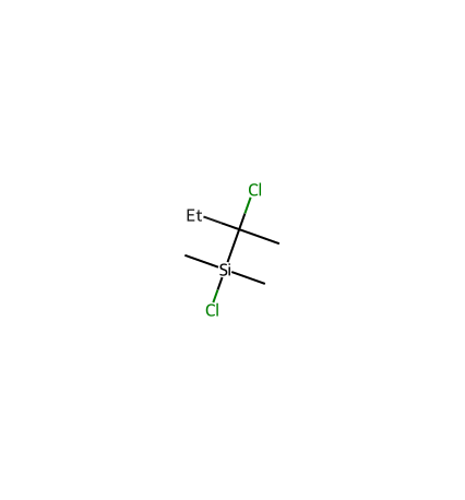 CCC(C)(Cl)[Si](C)(C)Cl